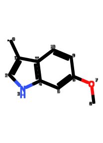 [CH2]c1c[nH]c2cc(OC)ccc12